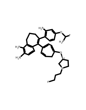 Nc1ccc2c(c1P)CCCC(c1ccc(OC(F)P)cc1P)=C2C1=CC=C(O[C@H]2CCN(CCCF)C2)CC=C1